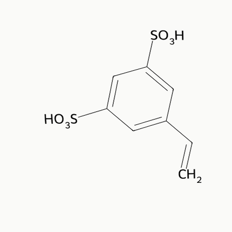 C=Cc1cc(S(=O)(=O)O)cc(S(=O)(=O)O)c1